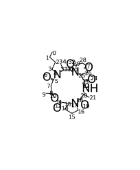 CCCCN1C(=O)CC(C)OC(=O)C2CCCN2C(=O)C(C)NC(=O)C2COCCN2C(=O)C1C